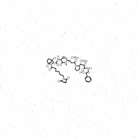 CC[C@H](C)[C@@H]([C@@H](CC(=O)N1CCCC1[C@H](OC)[C@@H](C)C(=O)N[C@H](C)[C@@H](O)c1ccccc1)OC)N(C)C(=O)C(NC(=O)[C@@H]1[C@H]2CC[C@H](C2)N1C(=O)CCCCCN1C(=O)C=CC1=O)C(C)C